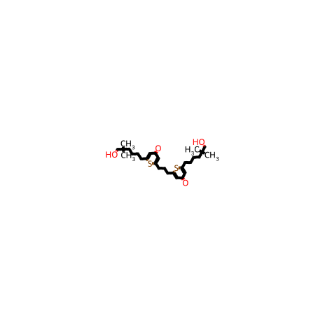 CC(C)(CO)CCCCc1cc(=O)cc(CCCc2cc(=O)cc(CCCCC(C)(C)CO)s2)s1